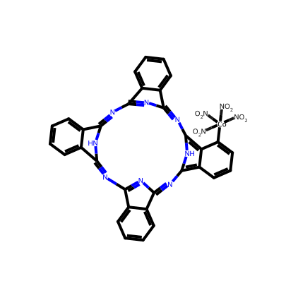 O=[N+]([O-])[Co]([c]1cccc2c3nc4nc(nc5[nH]c(nc6nc(nc([nH]3)c12)-c1ccccc1-6)c1ccccc51)-c1ccccc1-4)([N+](=O)[O-])([N+](=O)[O-])[N+](=O)[O-]